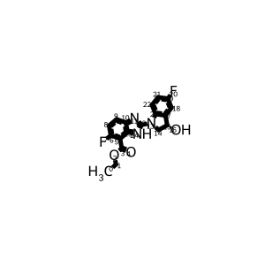 CCOC(=O)c1c(F)ccc2nc(N3C[C@@H](O)c4cc(F)ccc43)[nH]c12